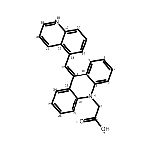 O=C(O)CN1c2ccccc2C(=Cc2cccc3ncccc23)c2ccccc21